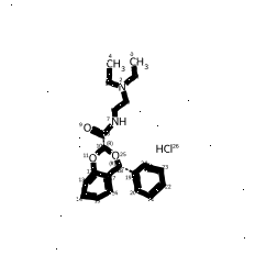 CCN(CC)CCNC(=O)[C@H]1Oc2ccccc2[C@@H](c2ccccc2)O1.Cl